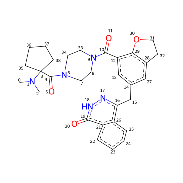 CN(C)C1(C(=O)N2CCN(C(=O)c3cc(Cc4n[nH]c(=O)c5ccccc45)cc4c3OCC4)CC2)CCCC1